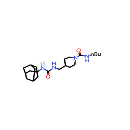 CCCCNC(=O)N1CCC(CNC(=O)NC23CC4CC(CC(C4)C2)C3)CC1